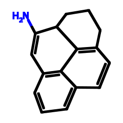 NC1=Cc2cccc3ccc4c(c23)C1CCC4